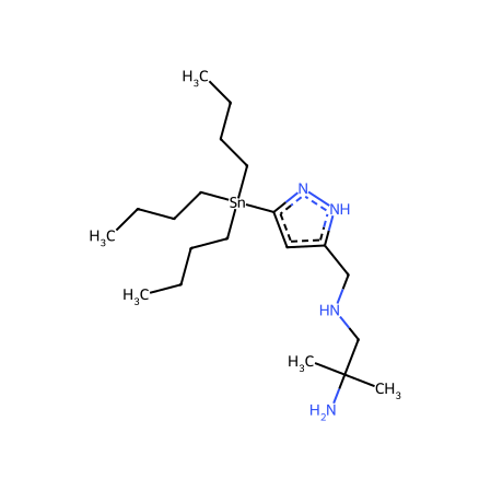 CCC[CH2][Sn]([CH2]CCC)([CH2]CCC)[c]1cc(CNCC(C)(C)N)[nH]n1